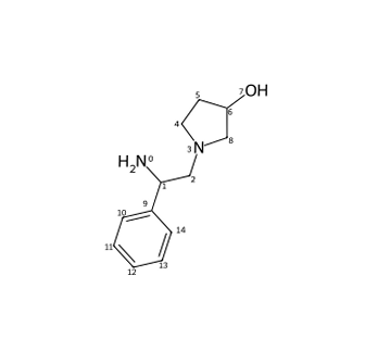 NC(CN1CCC(O)C1)c1ccccc1